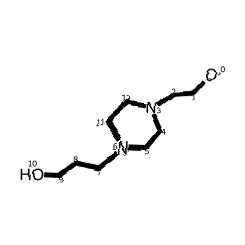 [O]CCN1CCN(CCCO)CC1